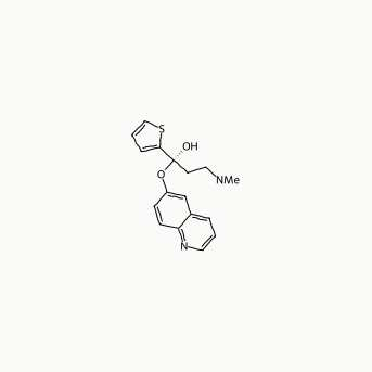 CNCC[C@@](O)(Oc1ccc2ncccc2c1)c1cccs1